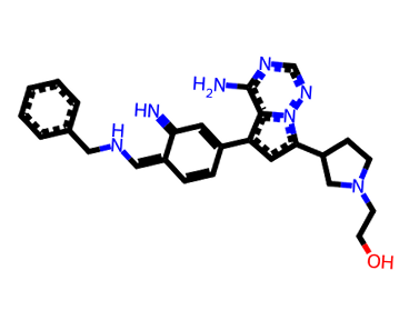 N=C1C=C(c2cc(C3CCN(CCO)C3)n3ncnc(N)c23)C=C/C1=C/NCc1ccccc1